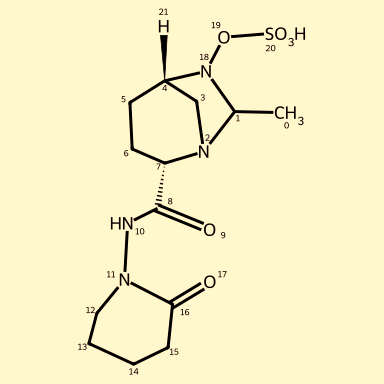 CC1N2C[C@H](CC[C@H]2C(=O)NN2CCCCC2=O)N1OS(=O)(=O)O